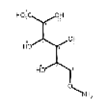 NOCC(O)C(O)C(O)C(O)C(=O)O